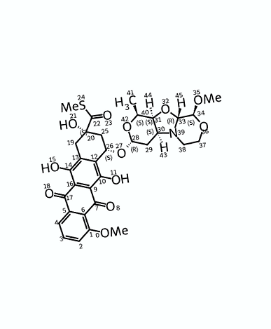 COc1cccc2c1C(=O)c1c(O)c3c(c(O)c1C2=O)C[C@@](O)(C(=O)SC)C[C@@H]3O[C@H]1C[C@H]2[C@H](O[C@@H]3[C@@H](OC)OCCN32)[C@H](C)O1